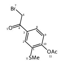 CSc1cc(C(=O)CBr)ccc1OC(C)=O